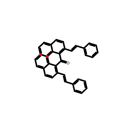 O=C(c1c(/C=C/c2ccccc2)ccc2ccccc12)c1c(/C=C/c2ccccc2)ccc2ccccc12